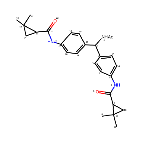 CC(=O)NC(c1ccc(NC(=O)C2CC2(C)C)cc1)c1ccc(NC(=O)C2CC2(C)C)cc1